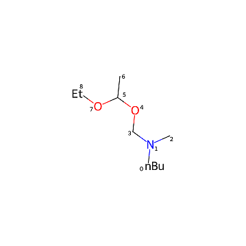 CCCCN(C)COC(C)OCC